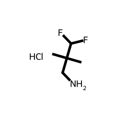 CC(C)(CN)C(F)F.Cl